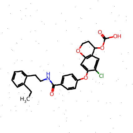 CCc1ccccc1CCNC(=O)c1ccc(Oc2cc3c(cc2Cl)C(OC(=O)O)CCO3)cc1